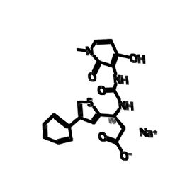 Cn1ccc(O)c(NC(=O)N[C@@H](CC(=O)[O-])c2cc(-c3ccccc3)cs2)c1=O.[Na+]